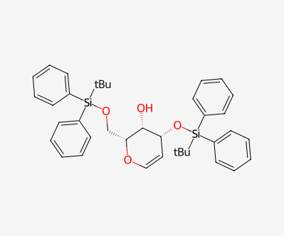 CC(C)(C)[Si](OC[C@H]1OC=C[C@@H](O[Si](c2ccccc2)(c2ccccc2)C(C)(C)C)[C@H]1O)(c1ccccc1)c1ccccc1